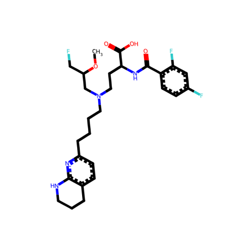 COC(CF)CN(CCCCc1ccc2c(n1)NCCC2)CCC(NC(=O)c1ccc(F)cc1F)C(=O)O